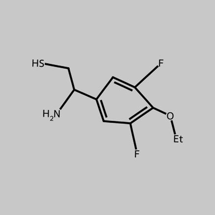 CCOc1c(F)cc(C(N)CS)cc1F